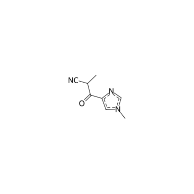 CC(C#N)C(=O)c1cn(C)cn1